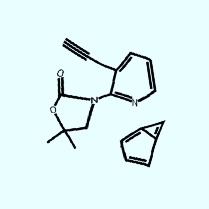 C#Cc1cccnc1N1CC(C)(C)OC1=O.c1cc2cc-2c1